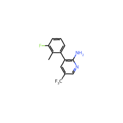 Cc1c(F)cccc1-c1cc(C(F)(F)F)cnc1N